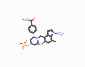 COC(=O)c1ccc([C@H]2C[C@@H](OS(C)(=O)=O)CCN2Cc2c(OC)cc(C)c3c2ccn3C(=O)O)cc1